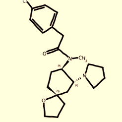 CN(C(=O)Cc1ccc(Cl)cc1)[C@@H]1CC[C@]2(CCCO2)C[C@H]1N1CCCC1